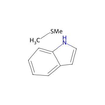 CSC.c1ccc2[nH]ccc2c1